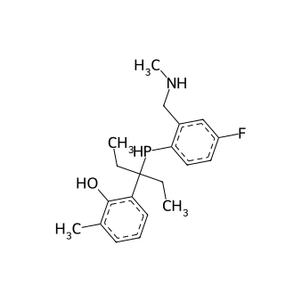 CCC(CC)(Pc1ccc(F)cc1CNC)c1cccc(C)c1O